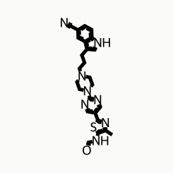 Cc1nc(-c2cnc(N3CCN(CCCc4c[nH]c5ccc(C#N)cc45)CC3)nc2)sc1NC=O